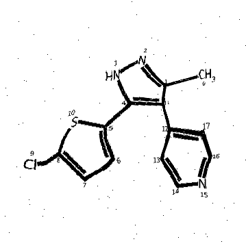 Cc1n[nH]c(-c2ccc(Cl)s2)c1-c1ccncc1